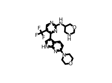 FC(F)(F)c1cnc(NC2CNCOC2)nc1-c1c[nH]c2nc(N3CCOCC3)ccc12